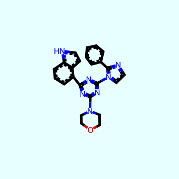 c1ccc(-c2nccn2-c2nc(-c3cccc4[nH]ccc34)nc(N3CCOCC3)n2)cc1